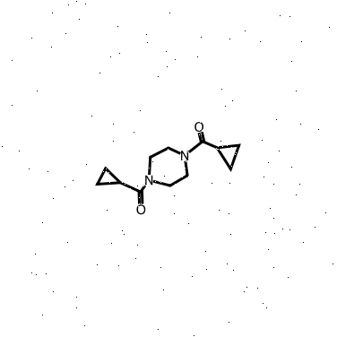 O=C(C1CC1)N1CCN(C(=O)C2CC2)CC1